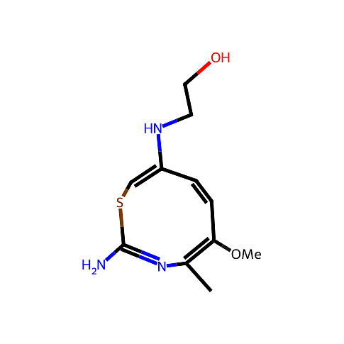 COc1ccc(NCCO)csc(N)nc1C